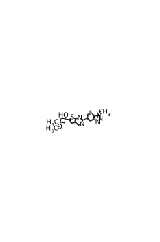 COC1(C)CC(O)(c2cc3cnc(-c4cnc5c(c4)nnn5C)nc3s2)C1